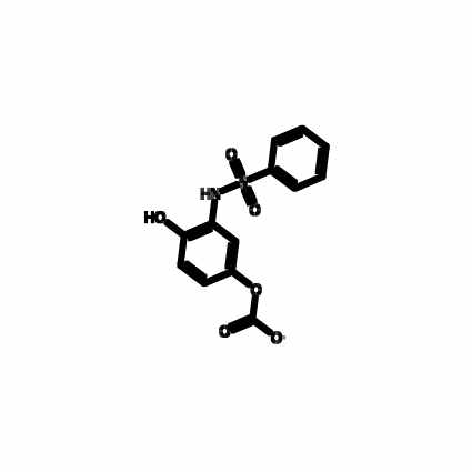 [O]C(=O)Oc1ccc(O)c(NS(=O)(=O)c2ccccc2)c1